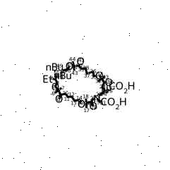 CCCCC(CC)COC(C)(C)C(=O)CCCCCOC(C)(C)C(=O)CN(CCN(CC(=O)O)CC(=O)C(C)(C)OCCCCCC(=O)C(C)(C)OCC(CC)CCCC)CC(=O)O